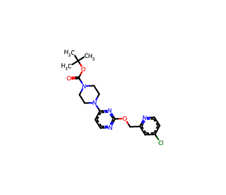 CC(C)(C)OC(=O)N1CCN(c2ccnc(OCc3cc(Cl)ccn3)n2)CC1